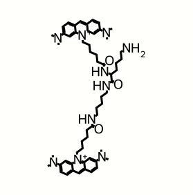 CN(C)c1ccc2cc3ccc(N(C)C)cc3[n+](CCCCCC(=O)NCCCCCNC(=O)C(CCCCN)NC(=O)CCCCC[n+]3c4cc(N(C)C)ccc4cc4ccc(N(C)C)cc43)c2c1